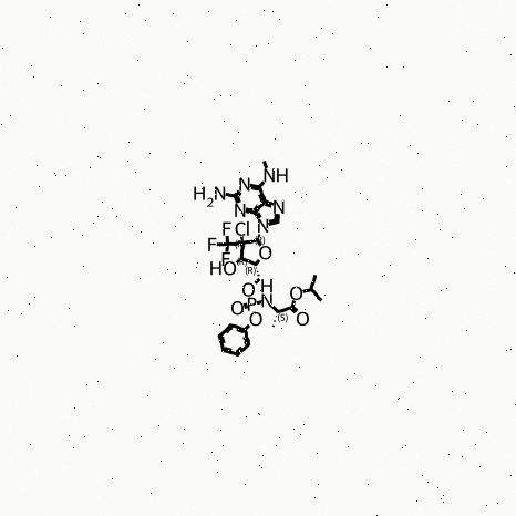 CNc1nc(N)nc2c1ncn2[C@@H]1O[C@H](COP(=O)(N[C@@H](C)C(=O)OC(C)C)Oc2ccccc2)[C@@H](O)[C@]1(Cl)C(F)(F)F